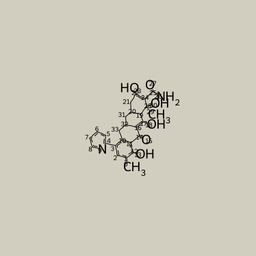 Cc1cc(-c2ccccn2)c2c(c1O)C(=O)C1=C(O)C3C(CC(O)=C(C(N)=O)C3(C)O)CC1C2